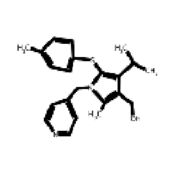 Cc1ccc(Sc2c(C(C)C)c(CO)c(C)n2Cc2ccncc2)cc1